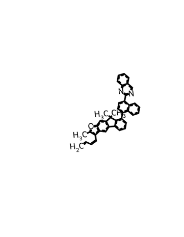 C=C/C=C\c1c(C)oc2cc3c(cc12)-c1cccc(-c2ccc(-c4ncc5ccccc5n4)c4ccccc24)c1C3(C)C